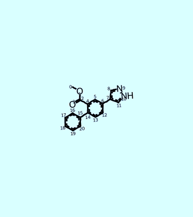 COC(=O)c1cc(-c2cn[nH]c2)ccc1-c1ccccc1